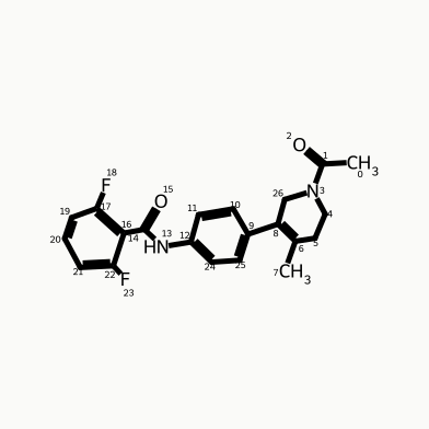 CC(=O)N1CCC(C)=C(c2ccc(NC(=O)c3c(F)cccc3F)cc2)C1